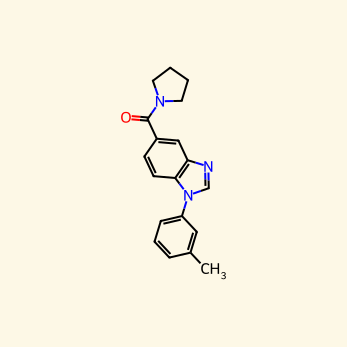 Cc1cccc(-n2cnc3cc(C(=O)N4CCCC4)ccc32)c1